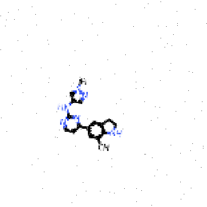 CC(C)n1cc(Nc2nccc(-c3cc(C#N)c4c(c3)CCN4)n2)cn1